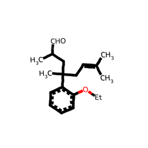 CCOc1ccccc1C(C)(CC=C(C)C)CC(C)C=O